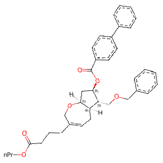 CCCOC(=O)CCCC1=CC[C@@H]2[C@@H](COCc3ccccc3)[C@H](OC(=O)c3ccc(-c4ccccc4)cc3)C[C@@H]2OC1